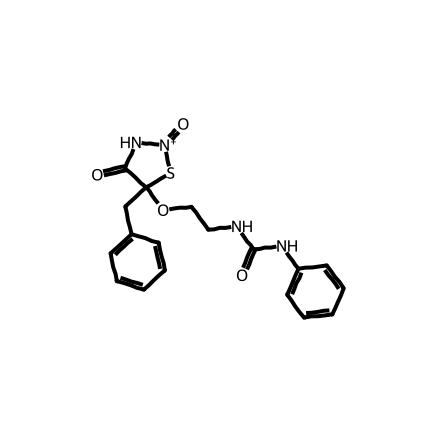 O=C(NCCOC1(Cc2ccccc2)S[N+](=O)NC1=O)Nc1ccccc1